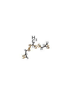 CC(SSCC1CS1)SSCC1CS1